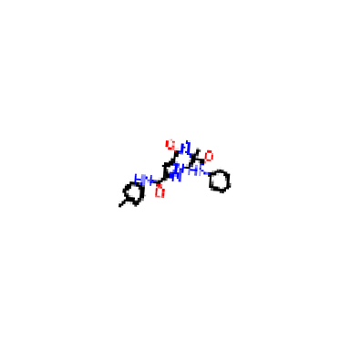 Cc1ccc(NC(=O)c2cc3n(n2)CC(C)(C(=O)NC2CCCCC2)N(C)C3=O)cc1